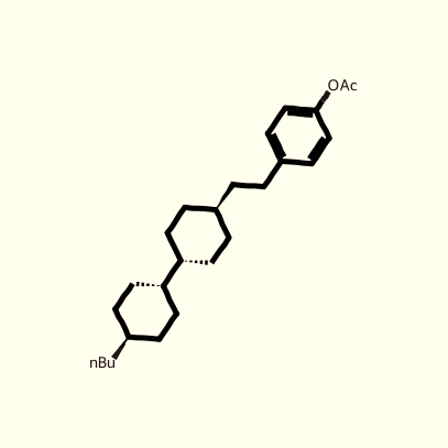 CCCC[C@H]1CC[C@H]([C@H]2CC[C@H](CCc3ccc(OC(C)=O)cc3)CC2)CC1